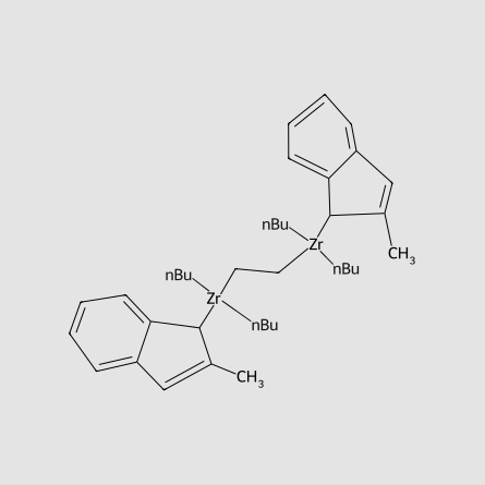 CCC[CH2][Zr]([CH2]CCC)([CH2][CH2][Zr]([CH2]CCC)([CH2]CCC)[CH]1C(C)=Cc2ccccc21)[CH]1C(C)=Cc2ccccc21